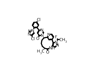 CC(F)n1ncc2c1-c1ccnc(c1)[C@@H](n1cnc(-c3cc(Cl)ccc3-n3cc(Cl)nn3)cc1=O)CCC[C@@H](C)C(=O)N2